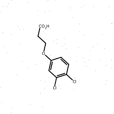 O=C(O)CCOc1ccc(Cl)c(Cl)c1